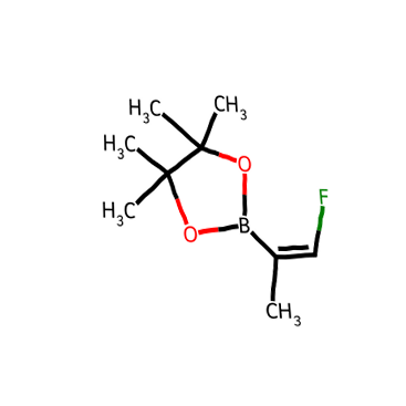 C/C(=C/F)B1OC(C)(C)C(C)(C)O1